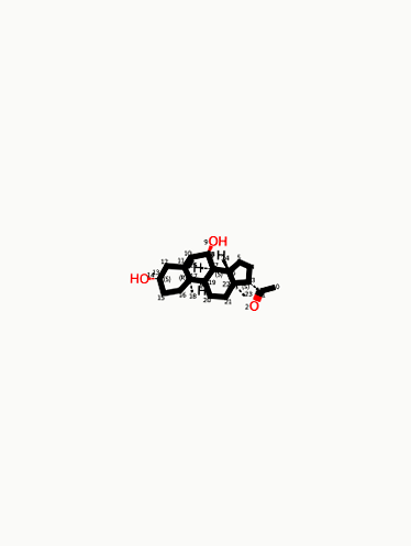 CC(=O)[C@H]1CC[C@H]2[C@@H]3[C@H](O)C=C4C[C@@H](O)CC[C@]4(C)[C@H]3CC[C@]12C